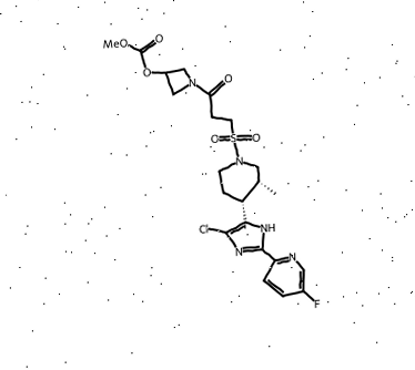 COC(=O)OC1CN(C(=O)CCS(=O)(=O)N2CC[C@@H](c3[nH]c(-c4ccc(F)cn4)nc3Cl)[C@@H](C)C2)C1